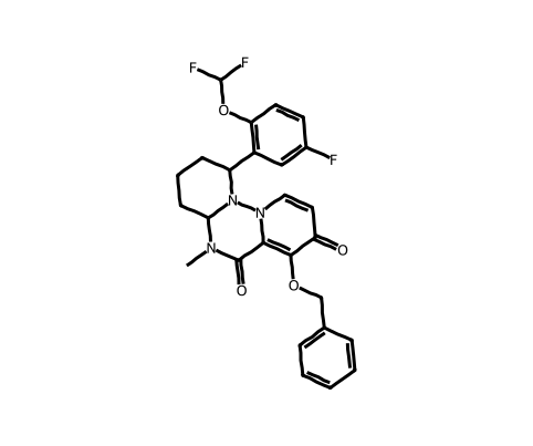 CN1C(=O)c2c(OCc3ccccc3)c(=O)ccn2N2C(c3cc(F)ccc3OC(F)F)CCCC12